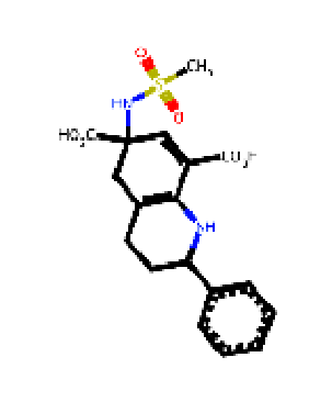 CS(=O)(=O)NC1(C(=O)O)C=C(C(=O)O)C2=C(CCC(c3ccccc3)N2)C1